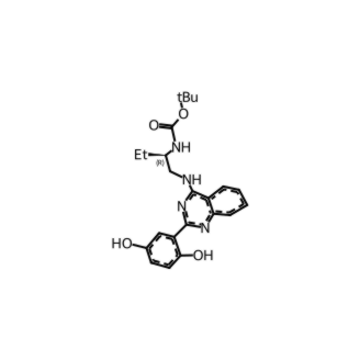 CC[C@H](CNc1nc(-c2cc(O)ccc2O)nc2ccccc12)NC(=O)OC(C)(C)C